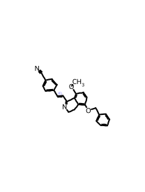 COc1ccc(OCc2ccccc2)c2c1C(/C=C/c1ccc(C#N)cc1)=NCC2